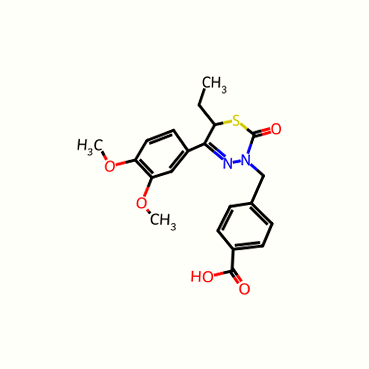 CCC1SC(=O)N(Cc2ccc(C(=O)O)cc2)N=C1c1ccc(OC)c(OC)c1